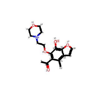 CC(=O)c1c(OCCN2CCOCC2)c(O)c2occc2c1C